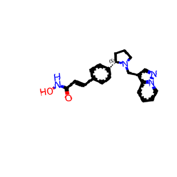 O=C(C=Cc1ccc([C@@H]2CCCN2Cc2cnn3ccccc23)cc1)NO